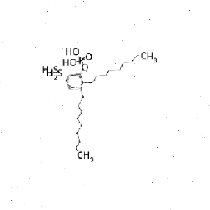 CCCCCCCCCc1cccc(OP(=O)(O)O)c1CCCCCCCCC.S.S